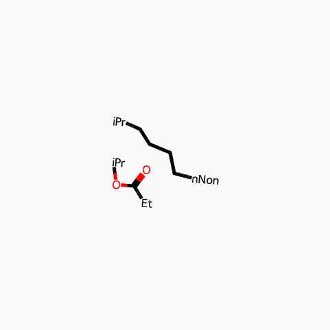 CCC(=O)OC(C)C.CCCCCCCCCCCCCC(C)C